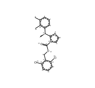 Cc1cccc([C@H](C)c2nccn2C(=O)OCc2c(Cl)cccc2Cl)c1C